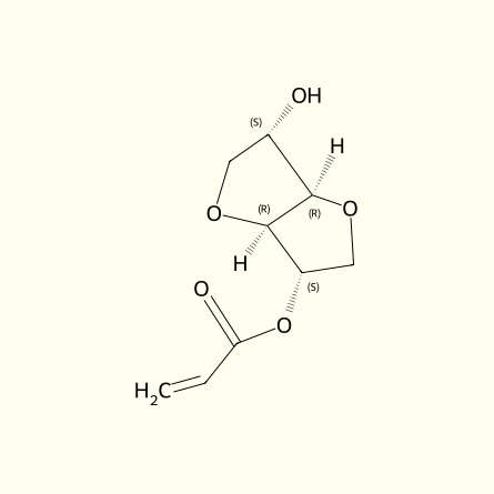 C=CC(=O)O[C@H]1CO[C@H]2[C@@H]1OC[C@@H]2O